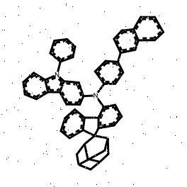 c1ccc(-n2c3ccccc3c3ccc(N(c4ccc(-c5ccc6ccccc6c5)cc4)c4cccc5c4-c4ccccc4C54C5CC6CC(C5)CC4C6)cc32)cc1